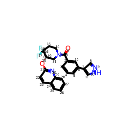 O=C(c1cccc(-c2cn[nH]c2)c1)N1CCC(F)(F)[C@@H](Oc2ccc3ccccc3n2)C1